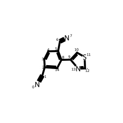 N#Cc1ccc(C#N)c(-c2cs[c]n2)c1